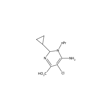 CCCN1C(N)=C(Cl)C(C(=O)O)=NC1C1CC1